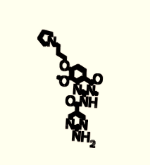 COc1c(OCCCN2CCCC2)ccc2c(=O)n(C)c(NC(=O)c3cnc(N)nc3)nc12